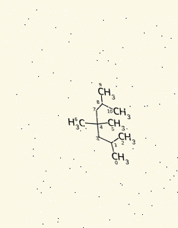 CC(C)CC(C)(C)CC(C)C